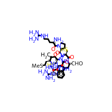 C=C(C(=O)[C@H](CS)N(C(=O)[C@@H](N)CCCNC(N)N)N(C(=O)[C@@H]1CCCN1C(=O)[C@@H](N)CCCNC(N)N)[C@@H](CS)C(=O)N[C@H](C=O)Cc1c[nH]c2ccccc12)[C@H](CCSC)NN[C@H](C=O)CC(C)C